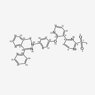 CS(=O)(=O)c1nccc(-c2cccnc2Oc2ccc(N3Cc4ccccc4C(c4ccccc4)=N3)cc2)n1